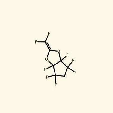 FC(F)=C1OC2(F)C(F)(F)CC(F)(F)C2(F)O1